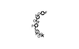 C[C@H]1CN(Cc2ccc(N(C)C(=O)c3ccc(Oc4ccc(F)cc4)nc3)cc2F)CCN1C(=O)OC(C)(C)C